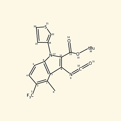 Cc1c(C(F)(F)F)ccc2c1c(N=C=O)c(C(=O)OC(C)(C)C)n2-c1ccsc1